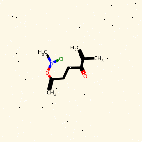 C=C(CCC(=O)C(=C)C)ON(C)Cl